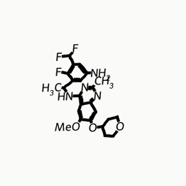 COc1cc2c(NC(C)c3cc(N)cc(C(F)F)c3F)nc(C)nc2cc1OC1CCOCC1